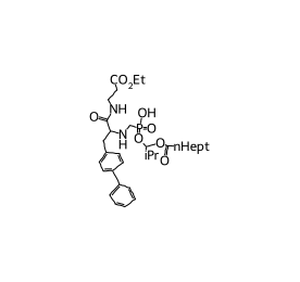 CCCCCCCC(=O)OC(OP(=O)(O)CNC(Cc1ccc(-c2ccccc2)cc1)C(=O)NCCC(=O)OCC)C(C)C